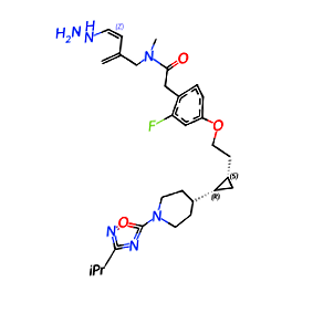 C=C(/C=C\NN)CN(C)C(=O)Cc1ccc(OCC[C@@H]2C[C@@H]2C2CCN(c3nc(C(C)C)no3)CC2)cc1F